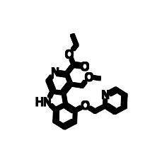 CCOC(=O)c1ncc2[nH]c3cccc(OCc4ccccn4)c3c2c1COC